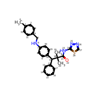 Cc1ccc(CNc2ccc(C(c3ccccc3)C(C)(C)C(=O)Nc3nncs3)cc2)cc1